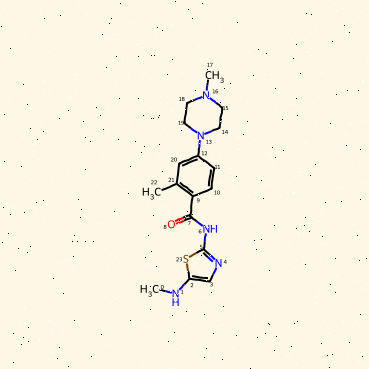 CNc1cnc(NC(=O)c2ccc(N3CCN(C)CC3)cc2C)s1